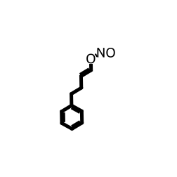 O=NO/C=C/CCc1ccccc1